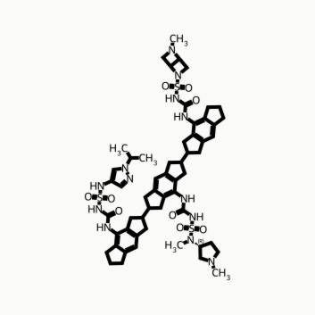 CC(C)n1cc(NS(=O)(=O)NC(=O)Nc2c3c(cc4c2CC(C2Cc5cc6c(c(NC(=O)NS(=O)(=O)N(C)[C@@H]7CCN(C)C7)c5C2)CC(C2Cc5cc7c(c(NC(=O)NS(=O)(=O)N8CC9C8CN9C)c5C2)CCC7)C6)C4)CCC3)cn1